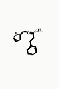 CC(=C=Cc1cccs1)CCc1ccccc1